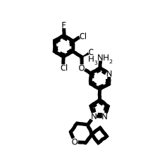 C[C@@H](Oc1cc(-c2cnn(C3CCOCC34CCC4)c2)cnc1N)c1c(Cl)ccc(F)c1Cl